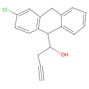 C#CCC(O)C1c2ccccc2Cc2cc(Cl)ccc21